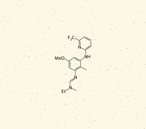 CCN(C)/C=N/c1cc(OC)cc(Nc2cccc(C(F)(F)F)n2)c1C